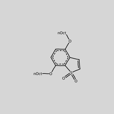 CCCCCCCCOc1ccc(OCCCCCCCC)c2c1C=CS2(=O)=O